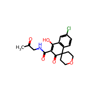 CC(=O)CNC(=O)C1=C(O)c2cc(Cl)ccc2C2(CCOCC2)C1=O